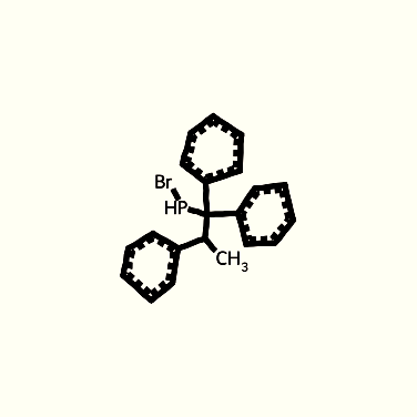 CC(c1ccccc1)C(PBr)(c1ccccc1)c1ccccc1